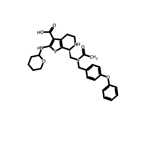 CC(=O)N(Cc1ccc(Oc2ccccc2)cc1)C[C@@H]1NCCc2c1sc(NC1CCCCO1)c2C(=O)O